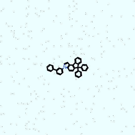 c1ccc(-c2cccc(-n3ccc4c5c(ccc43)C(c3ccccc3)(c3ccccc3)c3ccccc3-5)c2)cc1